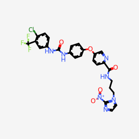 O=C(Nc1ccc(Oc2ccc(C(=O)NCCCn3ccnc3[N+](=O)[O-])nc2)cc1)Nc1ccc(Cl)c(C(F)(F)F)c1